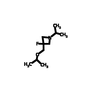 CC(C)OCC1(F)CN(C(C)C)C1